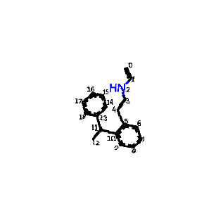 C=CNCCc1ccccc1C(C)c1ccccc1